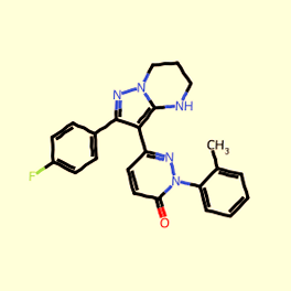 Cc1ccccc1-n1nc(-c2c(-c3ccc(F)cc3)nn3c2NCCC3)ccc1=O